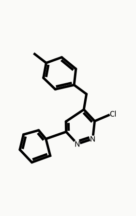 Cc1ccc(Cc2cc(-c3ccccc3)nnc2Cl)cc1